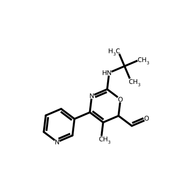 CC1=C(c2cccnc2)N=C(NC(C)(C)C)OC1C=O